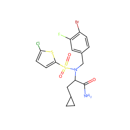 NC(=O)C(CC1CC1)N(Cc1ccc(Br)c(F)c1)S(=O)(=O)c1ccc(Cl)s1